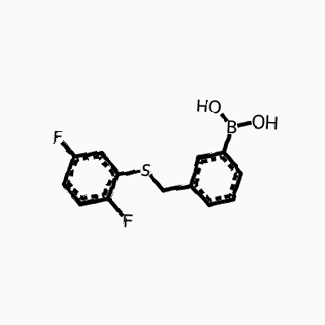 OB(O)c1cccc(CSc2cc(F)ccc2F)c1